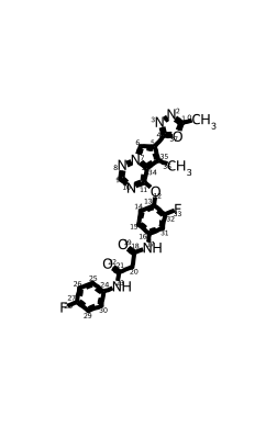 Cc1nnc(-c2cn3ncnc(Oc4ccc(NC(=O)CC(=O)Nc5ccc(F)cc5)cc4F)c3c2C)o1